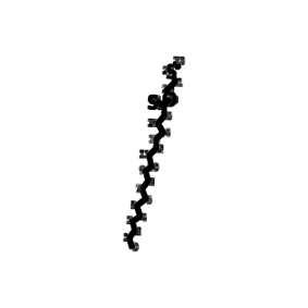 CCCCCCCCCCCCCCCCCC(=S)OCCSC